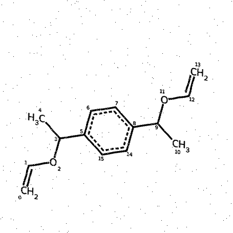 C=COC(C)c1ccc(C(C)OC=C)cc1